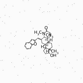 CN1C(=O)C=C[C@@]2(C)C1C(=Cc1cc3ccccc3o1)C[C@@H]1[C@H]2CC[C@]2(C)C(O)CC[C@@H]12